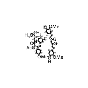 COc1cc(/C=C/C(=O)CC(=O)/C=C/c2ccc(O)c(OC)c2)ccc1O.COc1ccc([C@@H]2Sc3cc(Cl)ccc3N(CCN(C)C)C(=O)[C@@H]2OC(C)=O)cc1